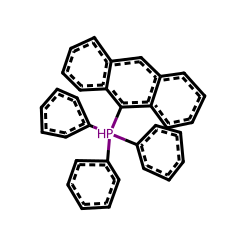 c1ccc([PH](c2ccccc2)(c2ccccc2)c2c3ccccc3cc3ccccc23)cc1